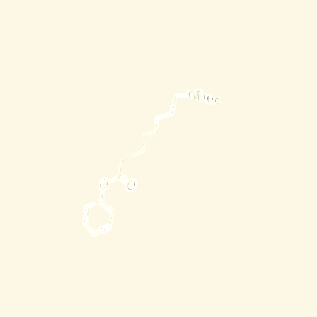 CCCCCCCCCCCCCC=CCCC(=O)Oc1ccccc1